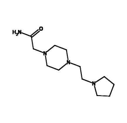 NC(=O)CN1CCN(CCN2CCCC2)CC1